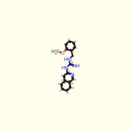 COc1ccccc1CNC(=N)Nc1cc2ccccc2cn1